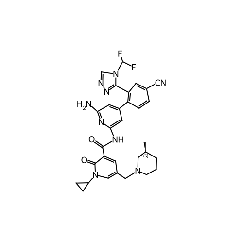 C[C@H]1CCCN(Cc2cc(C(=O)Nc3cc(-c4ccc(C#N)cc4-c4nncn4C(F)F)cc(N)n3)c(=O)n(C3CC3)c2)C1